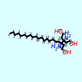 CCCCCCCCCCCCCCCCCCC(N)(CCO)C(N)(CCO)CCO